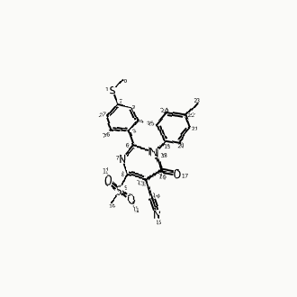 CSc1ccc(-c2nc(S(C)(=O)=O)c(C#N)c(=O)n2-c2ccc(C)cc2)cc1